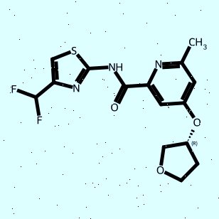 Cc1cc(O[C@@H]2CCOC2)cc(C(=O)Nc2nc(C(F)F)cs2)n1